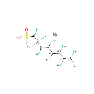 O=S(=O)([O-])C(F)C(F)(F)C(F)C(F)C(F)C(F)C(F)C(F)F.[Na+]